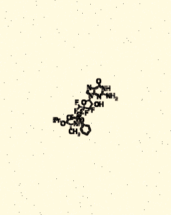 CC(C)OC(=O)[C@H](C)NP(=S)(OC[C@@]1(C(F)F)O[C@@H](n2cnc3c(=O)[nH]c(N)nc32)[C@H](O)C1(F)F)Oc1ccccc1